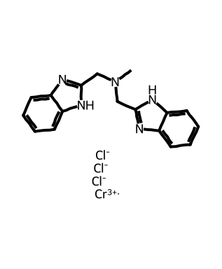 CN(Cc1nc2ccccc2[nH]1)Cc1nc2ccccc2[nH]1.[Cl-].[Cl-].[Cl-].[Cr+3]